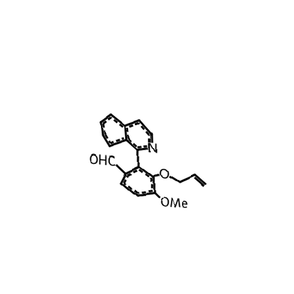 C=CCOc1c(OC)ccc(C=O)c1-c1nccc2ccccc12